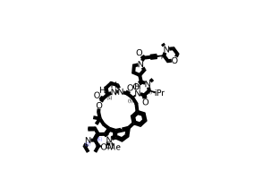 C=C/C(=C(\N=C/C)[C@H](C)OC)c1c2c3cc(ccc3n1CC)-c1cccc(c1)C[C@H](NC(=O)[C@H](C(C)C)N(C)C(=O)C1CCN(C(=O)C#C[C@@H]3COCCN3C)C1)C(=O)N1CCC[C@H](N1)C(=O)OCC(C)(C)C2